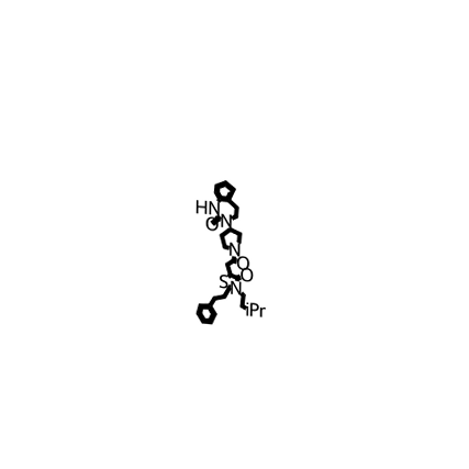 CC(C)CCN1C(=O)C(CC(=O)N2CCC(N3CCc4ccccc4NC3=O)CC2)SC1CCc1ccccc1